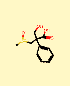 C[S+]([O-])CC(CO)(C(=O)O)c1ccccc1